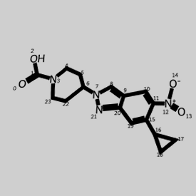 O=C(O)N1CCC(n2cc3cc([N+](=O)[O-])c(C4CC4)cc3n2)CC1